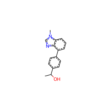 CC(O)c1ccc(-c2cccc3c2ncn3C)cc1